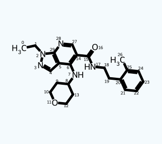 CCn1ncc2c(NC3CCOCC3)c(C(=O)NCCc3ccccc3C)cnc21